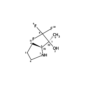 C[C@](O)([C@@H]1CCCN1)C(F)(F)F